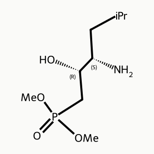 COP(=O)(C[C@H](O)[C@@H](N)CC(C)C)OC